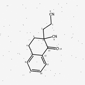 N#CCCC1(C#N)CCc2ccccc2C1=O